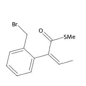 CC=C(C(=O)SC)c1ccccc1CBr